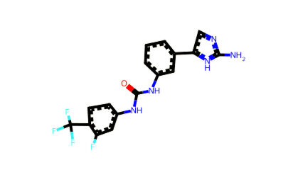 Nc1ncc(-c2cccc(NC(=O)Nc3ccc(C(F)(F)F)c(F)c3)c2)[nH]1